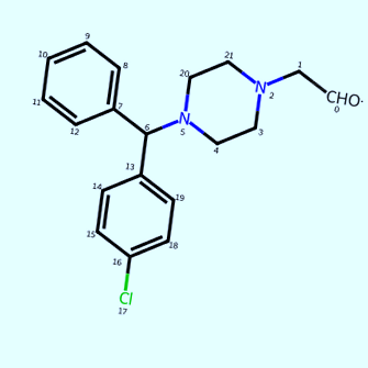 O=[C]CN1CCN(C(c2ccccc2)c2ccc(Cl)cc2)CC1